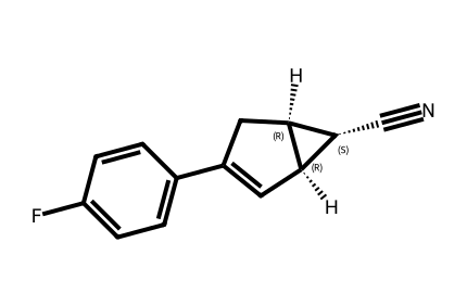 N#C[C@@H]1[C@H]2C=C(c3ccc(F)cc3)C[C@@H]12